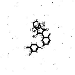 Cc1ccc(Oc2ccc(Cl)c(F)c2)cc1C1=C(O)[C@H]2[C@H]3CC[C@H](C3)[C@H]2C1=O